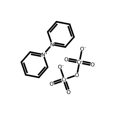 [O]=[Cr](=[O])([O-])[O][Cr](=[O])(=[O])[O-].c1cc[n+](-[n+]2ccccc2)cc1